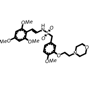 COc1cc(OC)c(C=CNS(=O)(=O)Cc2ccc(OC)c(OCCN3CCOCC3)c2)c(OC)c1